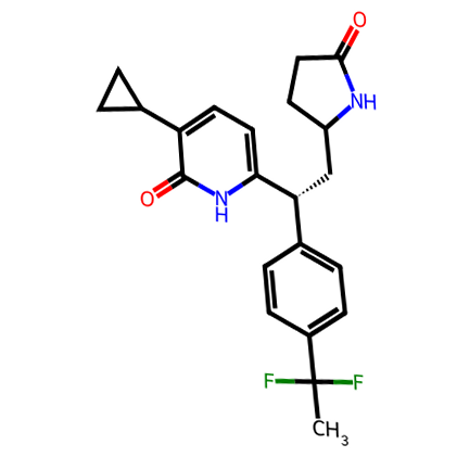 CC(F)(F)c1ccc([C@@H](CC2CCC(=O)N2)c2ccc(C3CC3)c(=O)[nH]2)cc1